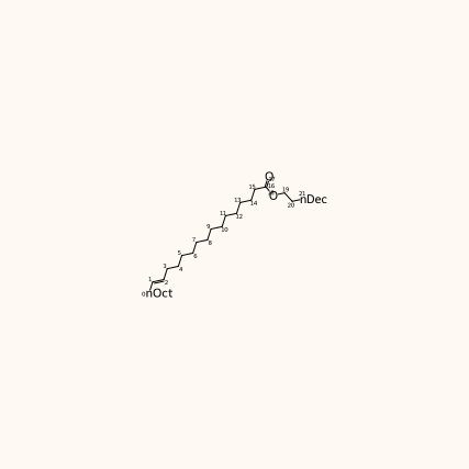 CCCCCCCCC=CCCCCCCCCCCCCCC(=O)OCCCCCCCCCCCC